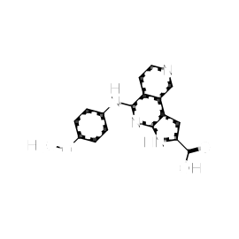 COc1ccc(Nc2nc3[nH]c(C(=O)O)cc3c3cnccc23)cc1